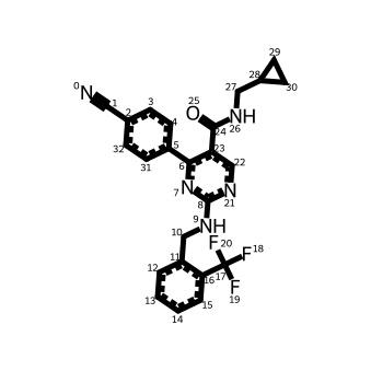 N#Cc1ccc(-c2nc(NCc3ccccc3C(F)(F)F)ncc2C(=O)NCC2CC2)cc1